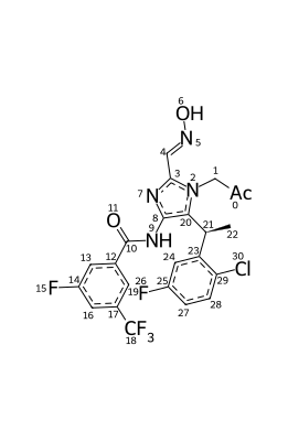 CC(=O)Cn1c(/C=N/O)nc(NC(=O)c2cc(F)cc(C(F)(F)F)c2)c1[C@@H](C)c1cc(F)ccc1Cl